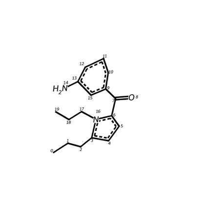 CCCc1ccc(C(=O)c2cccc(N)c2)n1CCC